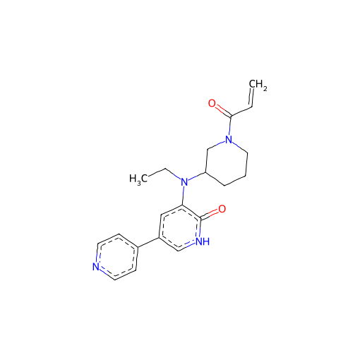 C=CC(=O)N1CCCC(N(CC)c2cc(-c3ccncc3)c[nH]c2=O)C1